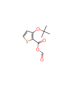 CC(C)(C)Oc1ccsc1C(=O)OC=O